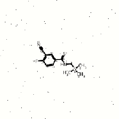 CS(C)(C)CNC(=S)c1ccc(F)c(C#N)c1